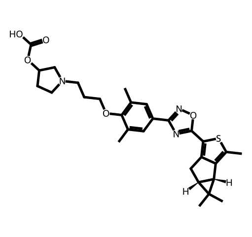 Cc1cc(-c2noc(-c3sc(C)c4c3C[C@@H]3[C@H]4C3(C)C)n2)cc(C)c1OCCCN1CCC(OC(=O)O)C1